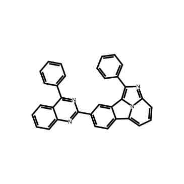 c1ccc(-c2nc(-c3ccc4c(c3)c3c(-c5ccccc5)nc5cccc4n53)nc3ccccc23)cc1